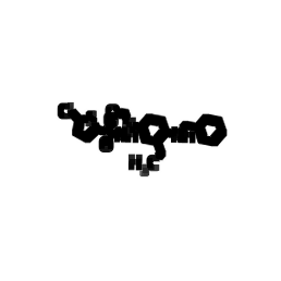 CCc1cc(N(C=O)NS(=O)(=O)c2ccc(Cl)s2)ccc1NCc1ccccc1